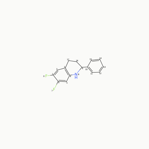 Fc1cc2c(cc1F)NC(c1ccccc1)CC2